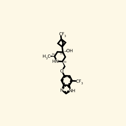 C[C@H]1C[C@@](O)(C23CC(C(F)(F)F)(C2)C3)C[C@@H](COc2cc(C(F)(F)F)c3[nH]cnc3c2)N1